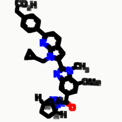 COc1cc(C(=O)N2C[C@H]3CC[C@@H]2[C@@H]3N)cc2nc(-c3cc4ccc(-c5ccc(CC(=O)O)cc5)nc4n3CC3CC3)n(C)c12